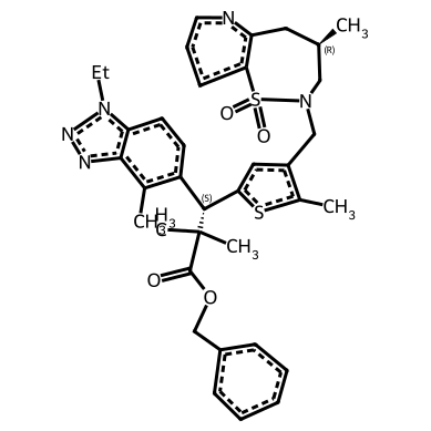 CCn1nnc2c(C)c([C@H](c3cc(CN4C[C@H](C)Cc5ncccc5S4(=O)=O)c(C)s3)C(C)(C)C(=O)OCc3ccccc3)ccc21